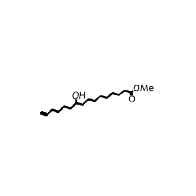 C=CCCCCC(O)CCCCCCCCC(=O)OC